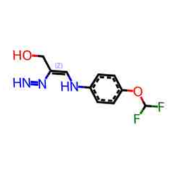 N=N/C(=C\Nc1ccc(OC(F)F)cc1)CO